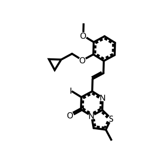 COc1cccc(C=Cc2nc3sc(C)cn3c(=O)c2I)c1OCC1CC1